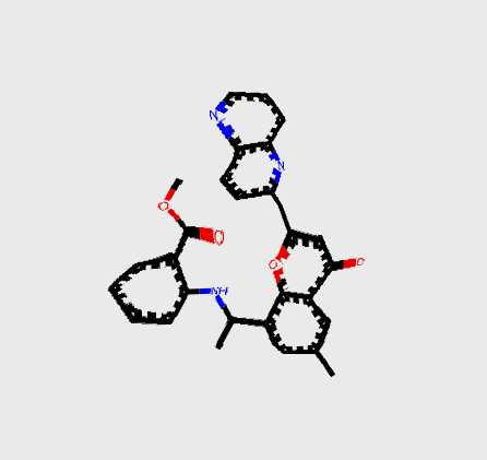 COC(=O)c1ccccc1NC(C)c1cc(C)cc2c(=O)cc(-c3ccc4ncccc4n3)oc12